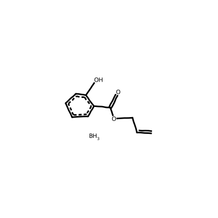 B.C=CCOC(=O)c1ccccc1O